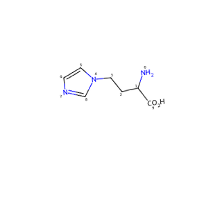 NC(CCn1ccnc1)C(=O)O